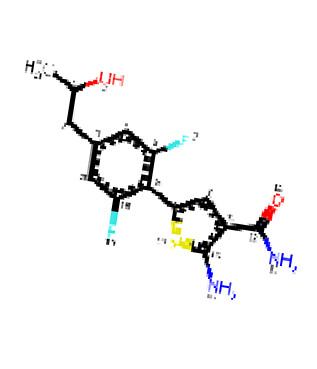 CC(O)Cc1cc(F)c(-c2cc(C(N)=O)c(N)s2)c(F)c1